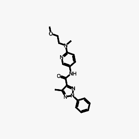 COCCN(C)c1ccc(NC(=O)c2nn(-c3ccccc3)nc2C)cn1